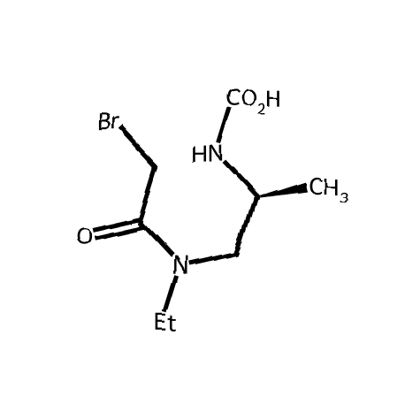 CCN(C[C@H](C)NC(=O)O)C(=O)CBr